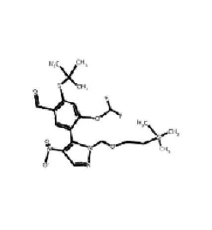 CC(C)(C)Sc1cc(OC(F)F)c(-c2c([N+](=O)[O-])cnn2COCC[Si](C)(C)C)cc1C=O